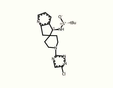 CC(C)(C)[S@@+]([O-])N[C@@H]1c2cccnc2CC12CCN(c1ncc(Cl)nn1)CC2